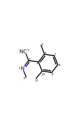 C/N=C(/C#N)c1c(C)cccc1C